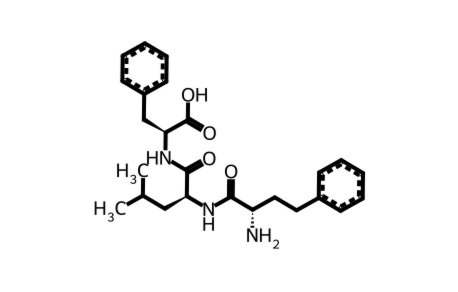 CC(C)C[C@H](NC(=O)[C@@H](N)CCc1ccccc1)C(=O)N[C@@H](Cc1ccccc1)C(=O)O